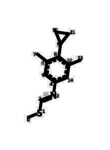 CS/C=N/c1cc(C)c(C2CC2)c(C)c1